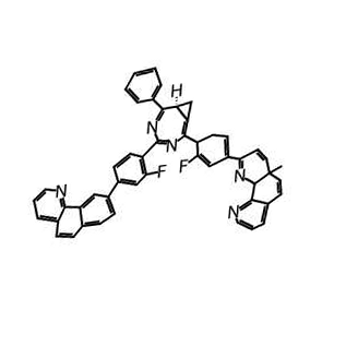 CC12C=CC(C3=CCC(C4=C5C[C@@H]5C(c5ccccc5)=NC(c5ccc(-c6ccc7ccc8cccnc8c7c6)cc5F)=N4)C(F)=C3)=NC1c1ncccc1C=C2